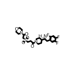 N[C@H](Cc1cc(F)c(F)cc1F)C1CCN(C(=O)CCS(=O)(=O)CC(=O)N2CCOCC2)CC1